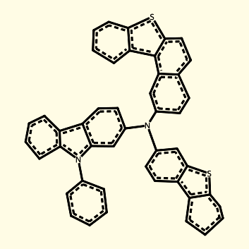 c1ccc(-n2c3ccccc3c3ccc(N(c4ccc5c(c4)sc4ccccc45)c4ccc5ccc6sc7ccccc7c6c5c4)cc32)cc1